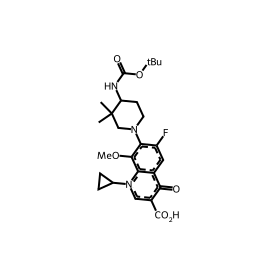 COc1c(N2CCC(NC(=O)OC(C)(C)C)C(C)(C)C2)c(F)cc2c(=O)c(C(=O)O)cn(C3CC3)c12